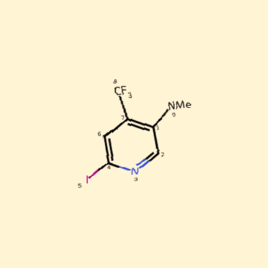 CNc1cnc(I)cc1C(F)(F)F